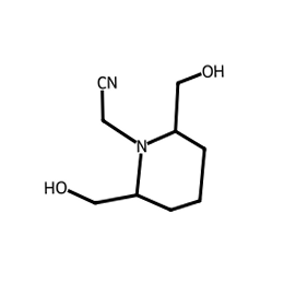 N#CCN1C(CO)CCCC1CO